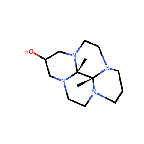 C[C@]12N3CCCN1CCN1CC(O)CN(CC3)[C@]12C